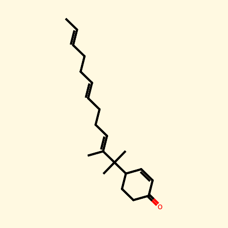 CC=CCCC=CCCC=C(C)C(C)(C)C1C=CC(=O)CC1